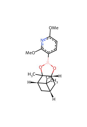 COc1ccc(B2O[C@@H]3C[C@@H]4C[C@@H](C4(C)C)C3(C)O2)c(OC)n1